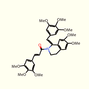 COc1cc2c(cc1OC)C(=Cc1cc(OC)c(OC)c(OC)c1)N(C(=O)C=Cc1cc(OC)c(OC)c(OC)c1)CC2